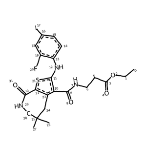 CCOC(=O)CCNC(=O)c1c(Nc2ccc(I)cc2F)sc2c1CC(C)(C)CNC2=O